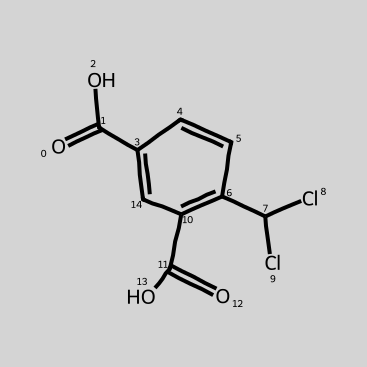 O=C(O)c1ccc(C(Cl)Cl)c(C(=O)O)c1